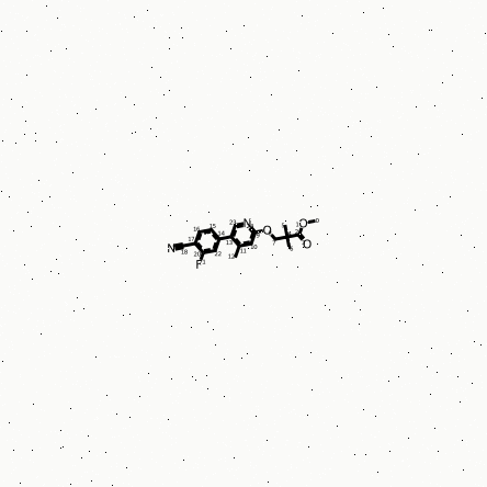 COC(=O)C(C)(C)COc1cc(C)c(-c2ccc(C#N)c(F)c2)cn1